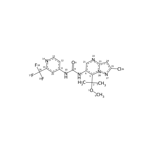 COC(C)(C)c1c(NC(=O)Nc2ccnc(C(F)(F)F)c2)cnc2cc(Cl)nn12